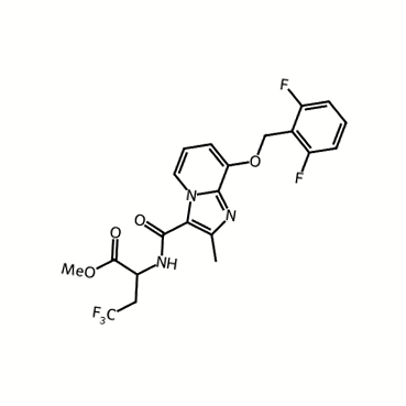 COC(=O)C(CC(F)(F)F)NC(=O)c1c(C)nc2c(OCc3c(F)cccc3F)cccn12